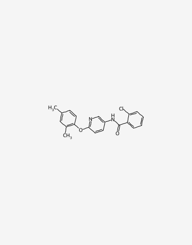 Cc1ccc(Oc2ccc(NC(=O)c3ccccc3Cl)cn2)c(C)c1